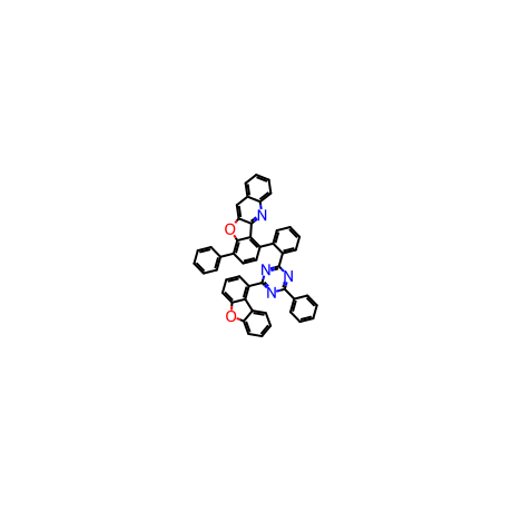 c1ccc(-c2nc(-c3ccccc3-c3ccc(-c4ccccc4)c4oc5cc6ccccc6nc5c34)nc(-c3cccc4oc5ccccc5c34)n2)cc1